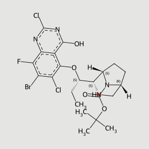 CC[C@H](Oc1c(Cl)c(Br)c(F)c2nc(Cl)nc(O)c12)[C@H]1NC[C@H]2CC[C@@H]1N2C(=O)OC(C)(C)C